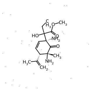 C=C(C)[C@@H]1C=C[C@@](N)(C(O)(CC)C(=O)OC)C(=O)[C@]1(C)N